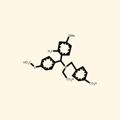 COc1ccc(C(c2ccc(OC(=O)O)cc2)N(CC(=O)O)Cc2ccc(C(=O)O)cc2)c(C)c1